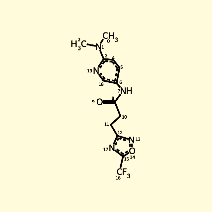 CN(C)c1ccc(NC(=O)CCc2noc(C(F)(F)F)n2)cn1